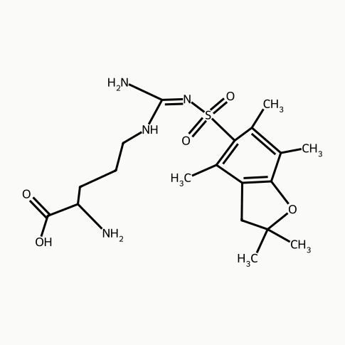 Cc1c(C)c(S(=O)(=O)N=C(N)NCCCC(N)C(=O)O)c(C)c2c1OC(C)(C)C2